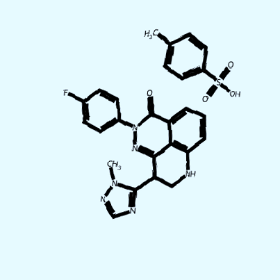 Cc1ccc(S(=O)(=O)O)cc1.Cn1ncnc1C1CNc2cccc3c(=O)n(-c4ccc(F)cc4)nc1c23